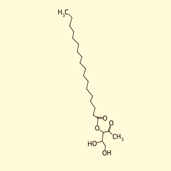 CCCCCCCCCCCCCCCCCC(=O)OC(C(C)=O)C(O)CO